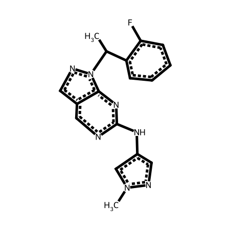 CC(c1ccccc1F)n1ncc2cnc(Nc3cnn(C)c3)nc21